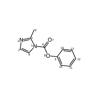 Cc1nccn1C(=O)Oc1ccccc1